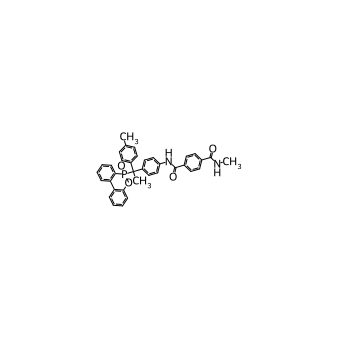 CNC(=O)c1ccc(C(=O)Nc2ccc(C(C)(c3ccc(C)cc3)P3(=O)Oc4ccccc4-c4ccccc43)cc2)cc1